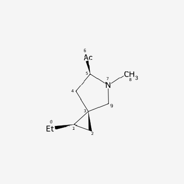 CC[C@@H]1C[C@]12C[C@@H](C(C)=O)N(C)C2